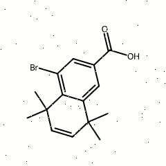 CC1(C)C=CC(C)(C)c2c(Br)cc(C(=O)O)cc21